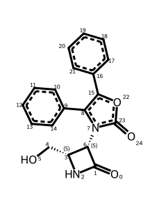 O=C1N[C@H](CO)[C@@H]1n1c(-c2ccccc2)c(-c2ccccc2)oc1=O